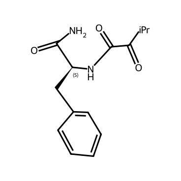 CC(C)C(=O)C(=O)N[C@@H](Cc1ccccc1)C(N)=O